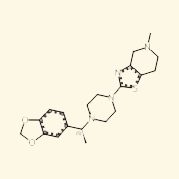 C[C@@H](c1ccc2c(c1)OCO2)N1CCN(c2nc3c(s2)CCN(C)C3)CC1